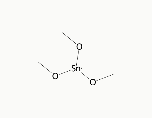 C[O][Sn]([O]C)[O]C